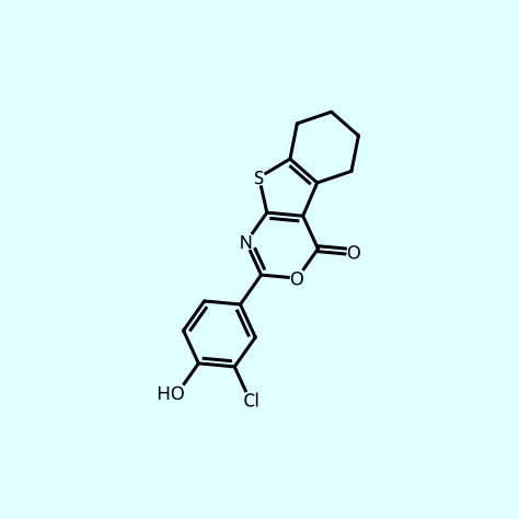 O=c1oc(-c2ccc(O)c(Cl)c2)nc2sc3c(c12)CCCC3